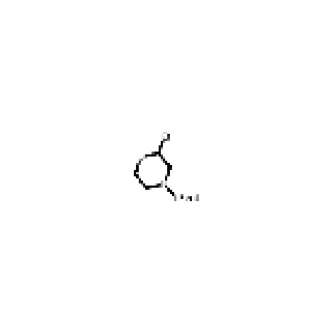 CCCCCN1CCOC(CC)C1